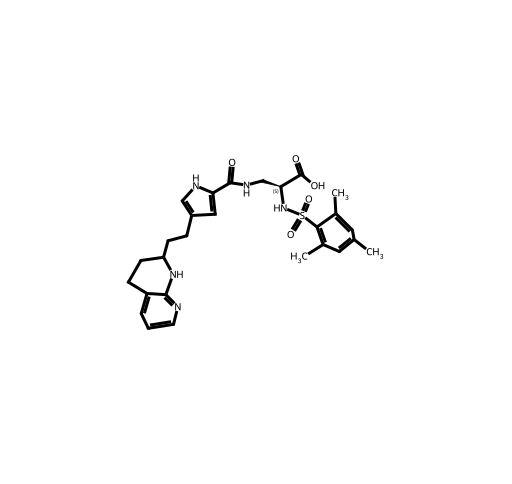 Cc1cc(C)c(S(=O)(=O)N[C@@H](CNC(=O)c2cc(CCC3CCc4cccnc4N3)c[nH]2)C(=O)O)c(C)c1